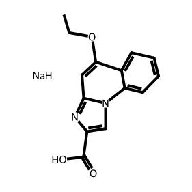 CCOc1cc2nc(C(=O)O)cn2c2ccccc12.[NaH]